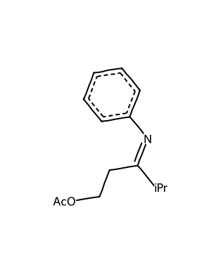 CC(=O)OCCC(=Nc1ccccc1)C(C)C